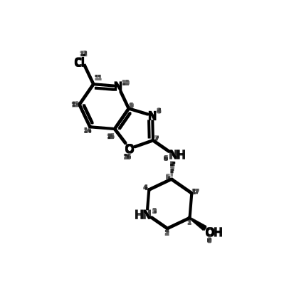 O[C@H]1CNC[C@H](Nc2nc3nc(Cl)ccc3o2)C1